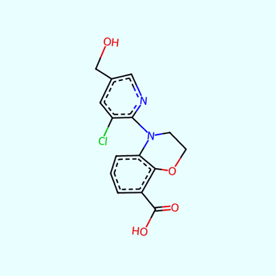 O=C(O)c1cccc2c1OCCN2c1ncc(CO)cc1Cl